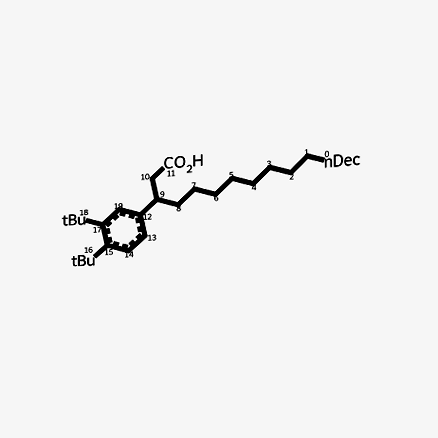 CCCCCCCCCCCCCCCCCCC(CC(=O)O)c1ccc(C(C)(C)C)c(C(C)(C)C)c1